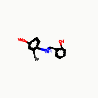 CC(C)c1cc(O)ccc1/N=C/c1ccccc1O